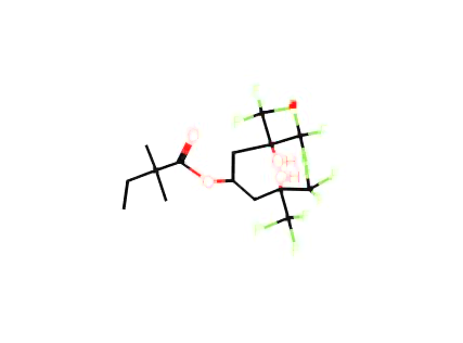 CCC(C)(C)C(=O)OC(CC(O)(C(F)(F)F)C(F)(F)F)CC(O)(C(F)(F)F)C(F)(F)F